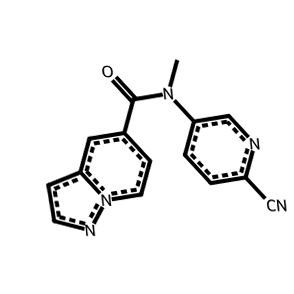 CN(C(=O)c1ccn2nccc2c1)c1ccc(C#N)nc1